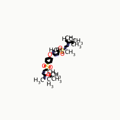 C=C/C(=C\C=C(/C)S(=O)(=O)C(=C)/C=C\C(=C/C)Oc1ccc(S(=O)(=O)C(=C)/C=C\C(=C/C)OC(C)(C)C)cc1)C(C)(C)C